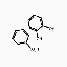 O=C(O)c1ccccc1.Oc1ccccc1O